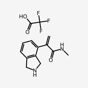 C=C(C(=O)NC)c1cccc2c1CNC2.O=C(O)C(F)(F)F